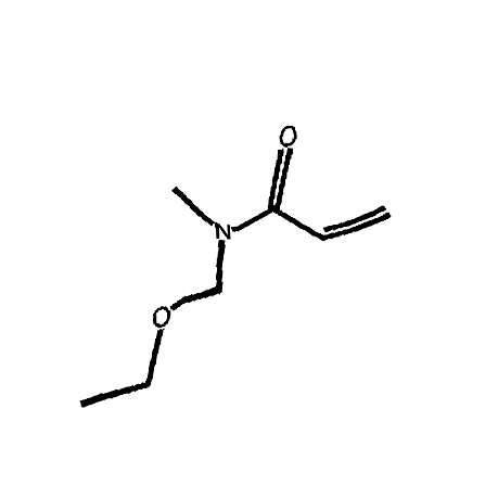 C=CC(=O)N(C)COCC